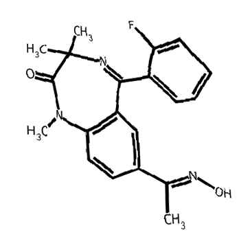 CC(=NO)c1ccc2c(c1)C(c1ccccc1F)=NC(C)(C)C(=O)N2C